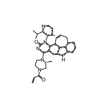 C=CC(=O)N1CCN(c2nc(=O)n(-c3c(C)ccnc3C(C)C)c3c4c5c(cc23)[pH]c2cccc(c25)CC=C4)[C@@H](C)C1